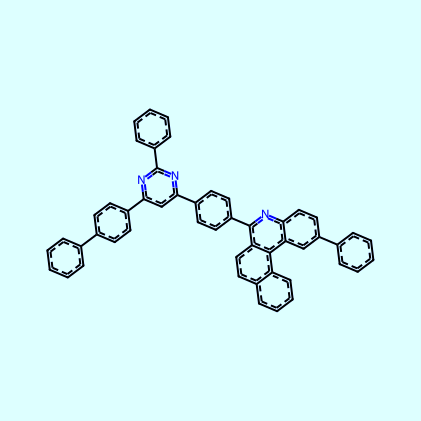 c1ccc(-c2ccc(-c3cc(-c4ccc(-c5nc6ccc(-c7ccccc7)cc6c6c5ccc5ccccc56)cc4)nc(-c4ccccc4)n3)cc2)cc1